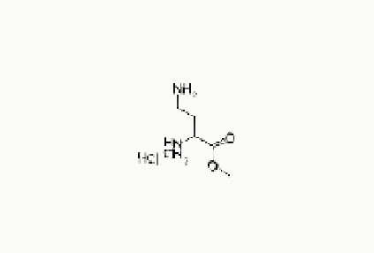 COC(=O)C(N)CCN.Cl.Cl